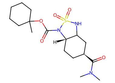 CN(C)C(=O)[C@H]1CC[C@H]2C(C1)NS(=O)(=O)N2C(=O)OC1(C)CCCCC1